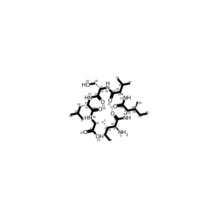 CC[C@H](C)[C@H](N)C(=O)N[C@H](C(=O)N[C@H](C(=O)N[C@@H](CO)C(=O)N[C@@H](CC(C)C)C(=O)NCC(=O)O)C(C)C)[C@@H](C)CC